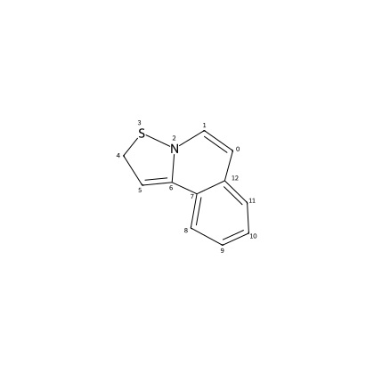 C1=CN2SCC=C2c2ccccc21